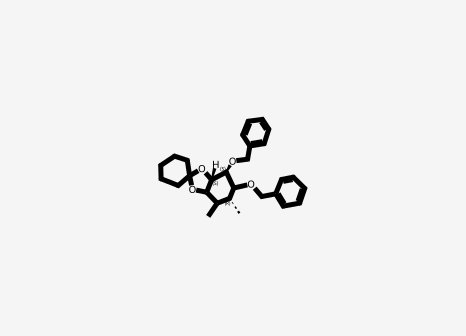 CC1C2OC3(CCCCC3)O[C@@H]2[C@@H](OCc2ccccc2)C(OCc2ccccc2)[C@@H]1C